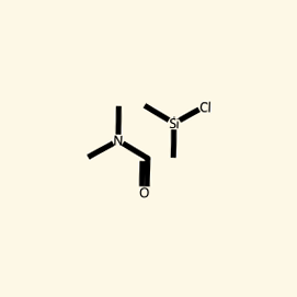 CN(C)C=O.C[Si](C)Cl